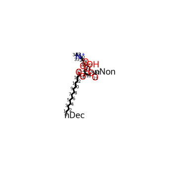 CCCCCCCCCCCCCCCCCCCCCCCC(=O)OC(COC(=O)CCCCCCCCC)COP(=O)(O)OCC[N+](C)(C)C